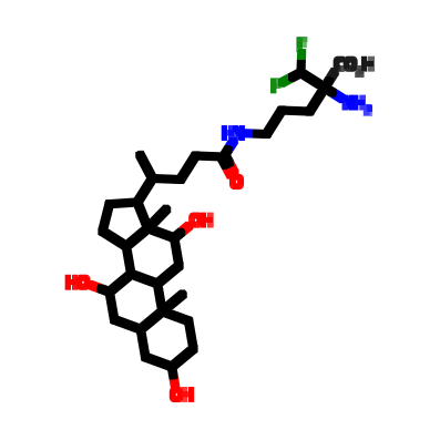 CC(CCC(=O)NCCCC(N)(C(=O)O)C(F)F)C1CCC2C3C(O)CC4CC(O)CCC4(C)C3CC(O)C12C